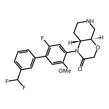 COc1cc(-c2cccc(C(F)F)c2)c(F)cc1N1C(=O)CO[C@@H]2CNCC[C@H]21